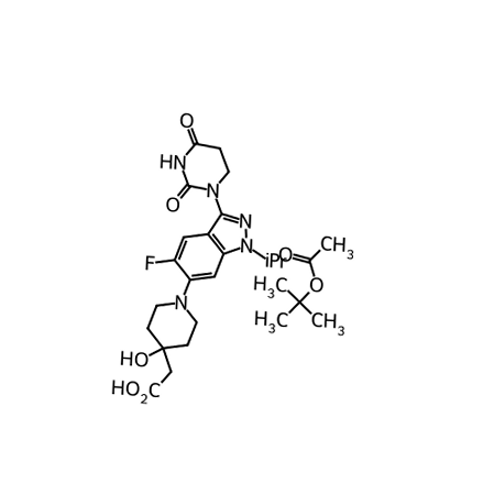 CC(=O)OC(C)(C)C.CC(C)n1nc(N2CCC(=O)NC2=O)c2cc(F)c(N3CCC(O)(CC(=O)O)CC3)cc21